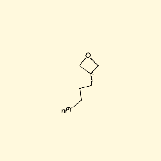 CCCCCC[C]1COC1